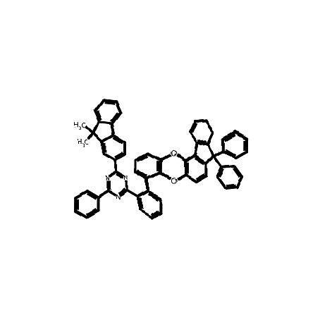 CC1(C)c2ccccc2-c2ccc(-c3nc(-c4ccccc4)nc(-c4ccccc4-c4cccc5c4Oc4ccc6c(c4O5)C4=C(CCC=C4)C6(c4ccccc4)c4ccccc4)n3)cc21